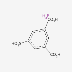 O=C(O)c1cc(C(=O)O)cc(S(=O)(=O)O)c1.P